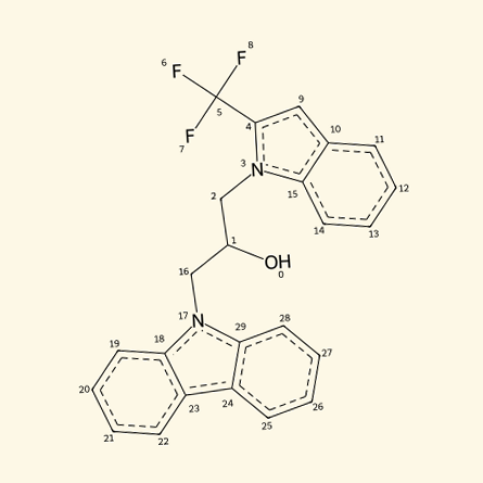 OC(Cn1c(C(F)(F)F)cc2ccccc21)Cn1c2ccccc2c2ccccc21